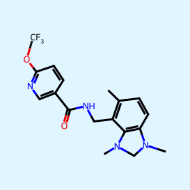 Cc1ccc2c(c1CNC(=O)c1ccc(OC(F)(F)F)nc1)N(C)CN2C